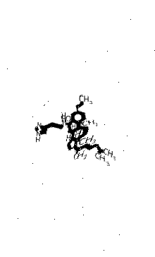 CCC[C@H]1CC[C@]2(C)[C@H]3CC[C@]4(C)[C@@H]([C@H](C)CCCC(C)C)CC[C@H]4[C@@H]3C[C@@H](NCCc3c[nH]cn3)[C@@]2(O)C1